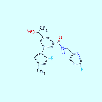 Cc1ccc(-c2cc(C(=O)NCc3ccc(F)cn3)cc(C(O)C(F)(F)F)c2)c(F)c1